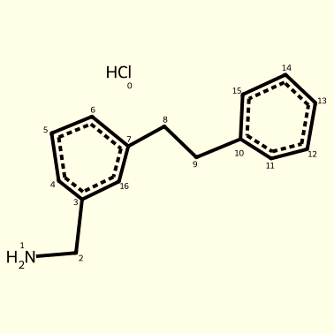 Cl.NCc1cccc(CCc2ccccc2)c1